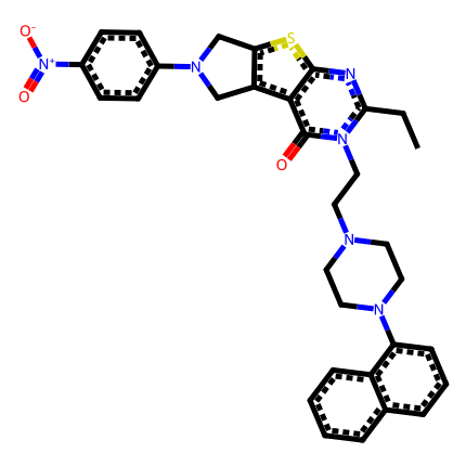 CCc1nc2sc3c(c2c(=O)n1CCN1CCN(c2cccc4ccccc24)CC1)CN(c1ccc([N+](=O)[O-])cc1)C3